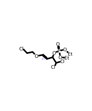 CCOP(=O)(OCC)OC(/C=C/OCCCl)C(Cl)Cl